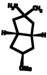 CO[C@@H]1C[C@@H]2CC(C)(N)C[C@@H]2C1